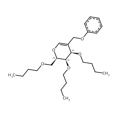 CCCCOC[C@H]1OC=C(COc2ccccc2)[C@@H](OCCCC)[C@H]1OCCCC